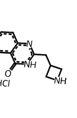 Cl.O=c1[nH]c(CC2CNC2)nc2ccccc12